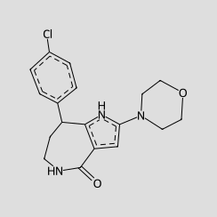 O=C1NCCC(c2ccc(Cl)cc2)c2[nH]c(N3CCOCC3)cc21